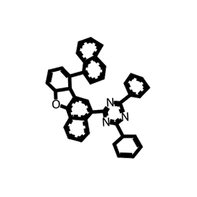 C1=CCC(c2nc(-c3ccccc3)nc(-c3cc4c(c5ccccc35)OC3C=CC=C(c5cccc6ccccc56)C43)n2)C=C1